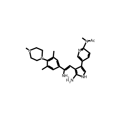 CC(=O)N(C)c1ccc(-c2c[nH]c(N)c2/C=C(\N)c2cc(C)c(N3CCN(C)CC3)c(C)c2)cn1